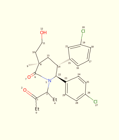 CCC(=O)C(CC)N1C(=O)[C@@](C)(CCO)C[C@H](c2cccc(Cl)c2)[C@H]1c1ccc(Cl)cc1